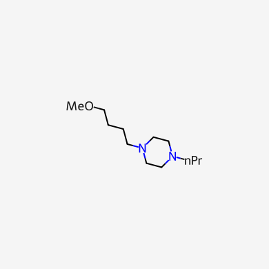 [CH2]OCCCCN1CCN(CCC)CC1